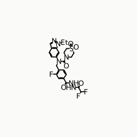 CCn1ncc2ccc(N(Cc3ccc(C(=O)NNC(=O)C(F)F)cc3F)C(=O)N3CCS(=O)(=O)CC3)cc21